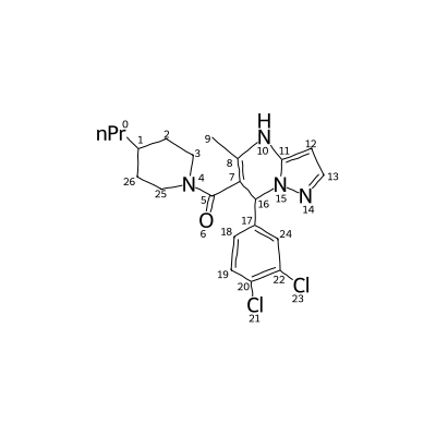 CCCC1CCN(C(=O)C2=C(C)Nc3ccnn3C2c2ccc(Cl)c(Cl)c2)CC1